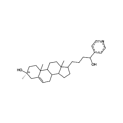 CC12CC[C@](C)(O)CC1=CCC1C2CCC2(C)C(CCCC(O)c3ccncc3)CCC12